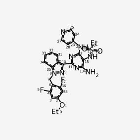 CCOc1cc(F)c(Cn2nc(-c3nc(N)c(NS(=O)(=O)CC)c(Nc4ccncc4)n3)c3ccccc32)c(F)c1